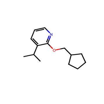 CC(C)c1cccnc1OCC1CCCC1